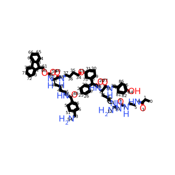 CCC(=O)NCCNC(=O)/N=C(/N)NCCC[C@@H](NC(=O)C(c1ccccc1)c1cccc(OCCCCNC(=O)[C@@H](CCCCNC(=O)c2ccc(CN)cc2)NC(=O)OCC2c3ccccc3-c3ccccc32)c1)C(=O)NCc1ccc(O)cc1